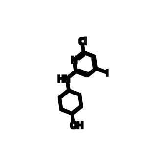 OC1CCC(Nc2cc(I)cc(Cl)n2)CC1